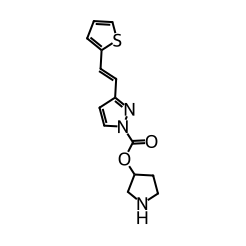 O=C(OC1CCNC1)n1ccc(/C=C/c2cccs2)n1